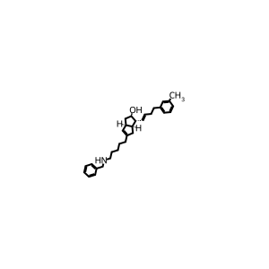 Cc1cccc(CC/C=C/[C@@H]2[C@H]3CC(CCCCCNCc4ccccc4)=C[C@H]3C[C@H]2O)c1